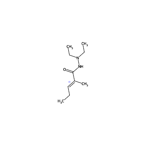 CC/C=C(\C)C(=O)NN(CC)CC